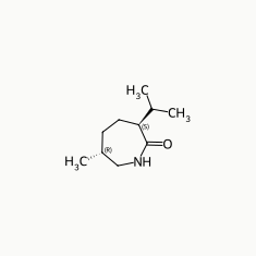 CC(C)[C@@H]1CC[C@@H](C)CNC1=O